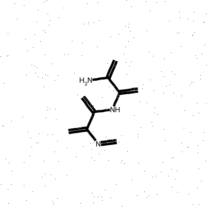 C=NC(=C)C(=C)NC(=C)C(=C)N